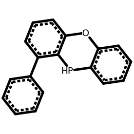 c1ccc(-c2cccc3c2Pc2ccccc2O3)cc1